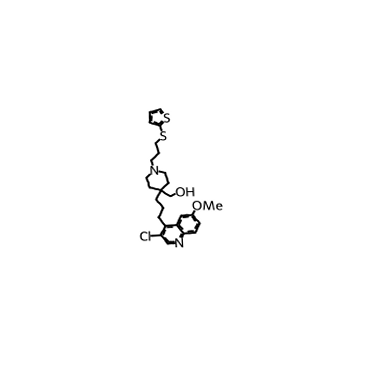 COc1ccc2ncc(Cl)c(CCCC3(CO)CCN(CCCSc4cccs4)CC3)c2c1